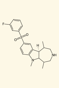 CC1CNCC(C)[C@@H]2c3cc(S(=O)(=O)c4cccc(F)c4)ccc3N(C)C12